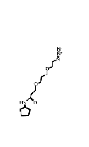 [N-]=[N+]=NCCOCCCOCCC(=O)NC1CCCC1